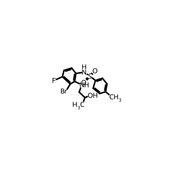 Cc1ccc(S(=O)(=O)Nc2ccc(F)c(Br)c2NCC(C)O)cc1